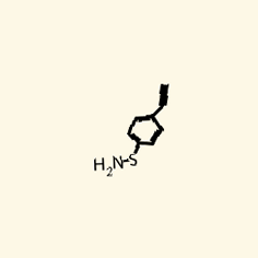 C#Cc1ccc(SN)cc1